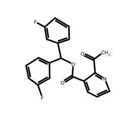 [CH2]C(=O)c1ncccc1C(=O)OC(c1cccc(F)c1)c1cccc(F)c1